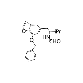 CC(C)C(Cc1cc(OCc2ccccc2)c2occc2c1)NC=O